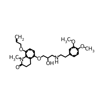 C=CCOc1ccc(OCC(O)CNCCc2ccc(OC)c(OC)c2)c2c1N(C)C(=O)CC2